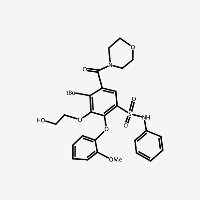 COc1ccccc1Oc1c(S(=O)(=O)Nc2ccccc2)cc(C(=O)N2CCOCC2)c(C(C)(C)C)c1OCCO